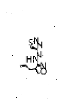 C=CCc1conc1N[N]c1csnn1